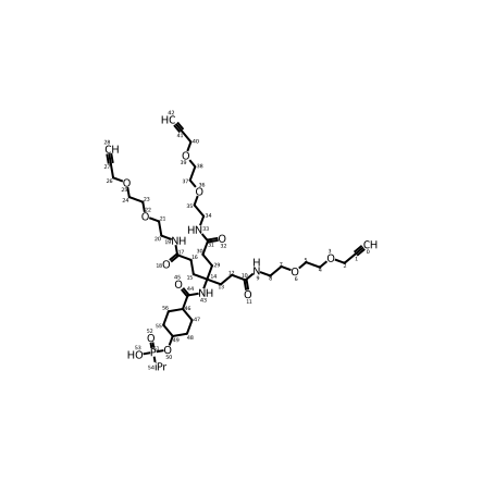 C#CCOCCOCCNC(=O)CCC(CCC(=O)NCCOCCOCC#C)(CCC(=O)NCCOCCOCC#C)NC(=O)C1CCC(OP(=O)(O)C(C)C)CC1